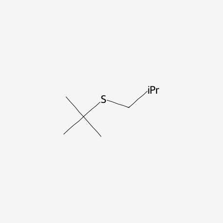 CC(C)CSC(C)(C)C